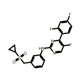 O=S(=O)(Cc1cccc(Nc2ncc(F)c(-c3ccc(F)cc3F)n2)c1)C1CC1